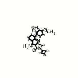 COc1ccc(-c2cccc3c(N)c4c(nc23)CN(C2CCC2)C4=O)c(OC)c1